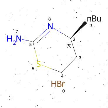 Br.CCCC[C@H]1CCSC(N)=N1